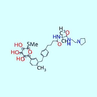 CS[C@H]1O[C@@H](c2ccc(C)c(Cc3ccc(CCCC(=O)NC(C)(C)C(=O)NCCN4CCCC4)cc3)c2)[C@H](O)[C@@H](O)[C@@H]1O